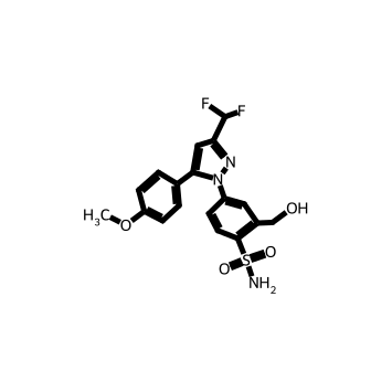 COc1ccc(-c2cc(C(F)F)nn2-c2ccc(S(N)(=O)=O)c(CO)c2)cc1